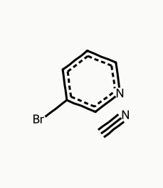 Brc1cccnc1.C#N